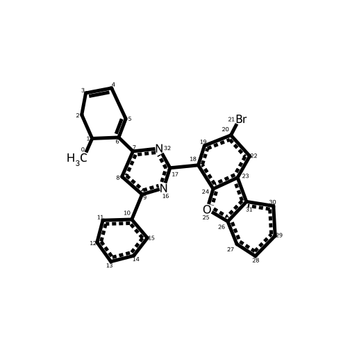 CC1CC=CC=C1c1cc(-c2ccccc2)nc(-c2cc(Br)cc3c2oc2ccccc23)n1